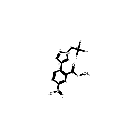 COC(=O)c1cc([N+](=O)[O-])ccc1-c1cnn(CC(F)(F)F)c1